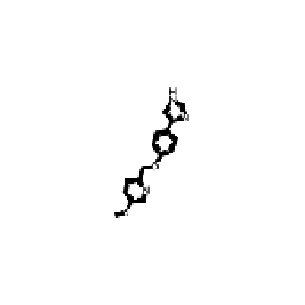 CSc1ccc(COc2ccc(-c3c[nH]cn3)cc2)nc1